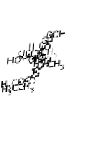 COc1cc2sc(C(=O)CC(=O)OC(C)(C)C)cc2nc1OC(CC(C)(C)OC(=O)CC(=O)O)C(C)(C)OC(=O)CC(=O)O